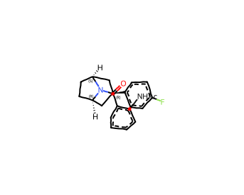 CC(=O)Nc1ccccc1C(=O)N1[C@@H]2CC[C@H]1C[C@@H](c1ccc(F)cc1)C2